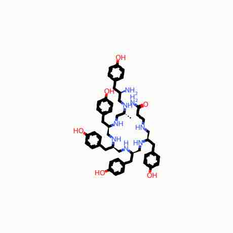 C[C@H](CN[C@@H](CN[C@@H](CN[C@@H](CN[C@@H](CNCCC(N)=O)Cc1ccc(O)cc1)Cc1ccc(O)cc1)Cc1ccc(O)cc1)Cc1ccc(O)cc1)NC[C@H](N)Cc1ccc(O)cc1